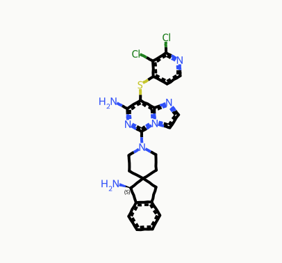 Nc1nc(N2CCC3(CC2)Cc2ccccc2[C@H]3N)n2ccnc2c1Sc1ccnc(Cl)c1Cl